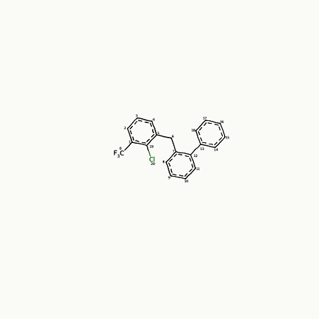 FC(F)(F)c1cccc(Cc2ccccc2-c2ccccc2)c1Cl